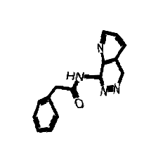 O=C(Cc1ccccc1)NC1N=NCC2C=CC=NC21